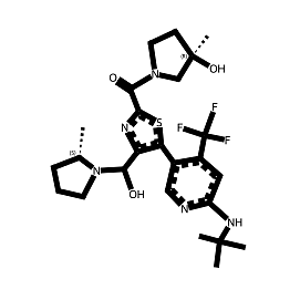 C[C@H]1CCCN1C(O)c1nc(C(=O)N2CC[C@@](C)(O)C2)sc1-c1cnc(NC(C)(C)C)cc1C(F)(F)F